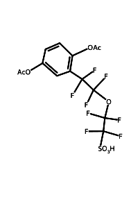 CC(=O)Oc1ccc(OC(C)=O)c(C(F)(F)C(F)(F)OC(F)(F)C(F)(F)S(=O)(=O)O)c1